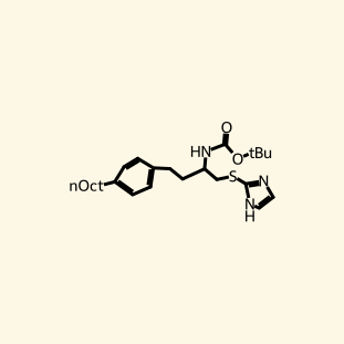 CCCCCCCCc1ccc(CCC(CSc2ncc[nH]2)NC(=O)OC(C)(C)C)cc1